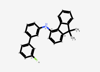 CC1(C)c2ccccc2-c2c(Nc3cccc(-c4cccc(F)c4)c3)cccc21